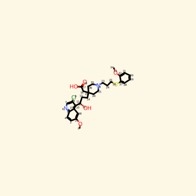 COc1ccc2ncc(Cl)c([C@H](O)CCC3(CC(=O)O)CCN(CCCSc4ccccc4OC)CC3)c2c1